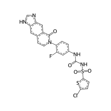 O=C(Nc1ccc(-n2ccc3cc4[nH]cnc4cc3c2=O)c(F)c1)NS(=O)(=O)c1ccc(Cl)s1